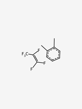 Cc1ccccc1C.FC(F)=C(F)C(F)(F)F